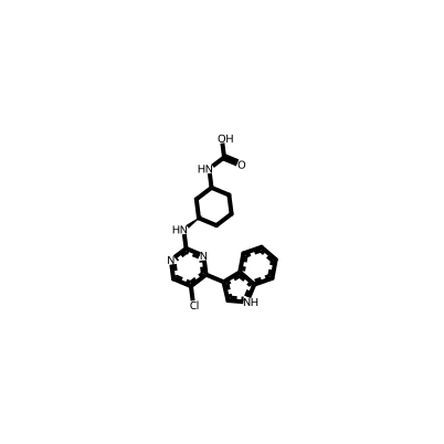 O=C(O)NC1CCC[C@@H](Nc2ncc(Cl)c(-c3c[nH]c4ccccc34)n2)C1